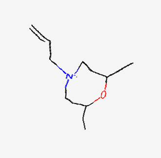 C=CC[N+]1CC(C)OC(C)C1